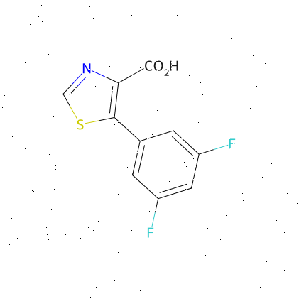 O=C(O)c1ncsc1-c1cc(F)cc(F)c1